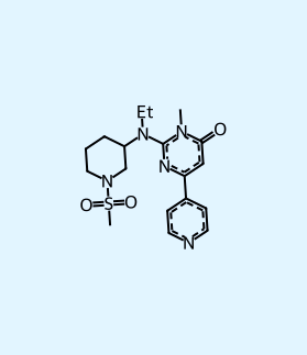 CCN(c1nc(-c2ccncc2)cc(=O)n1C)C1CCCN(S(C)(=O)=O)C1